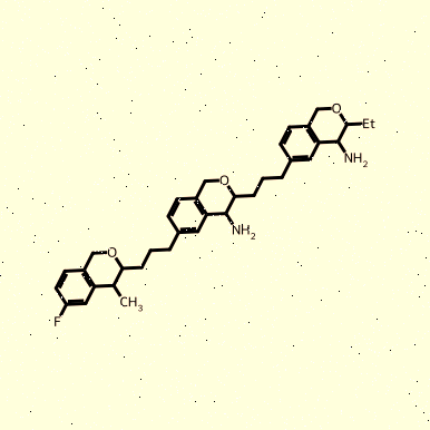 CCC1OCc2ccc(CCCC3OCc4ccc(CCCC5OCc6ccc(F)cc6C5C)cc4C3N)cc2C1N